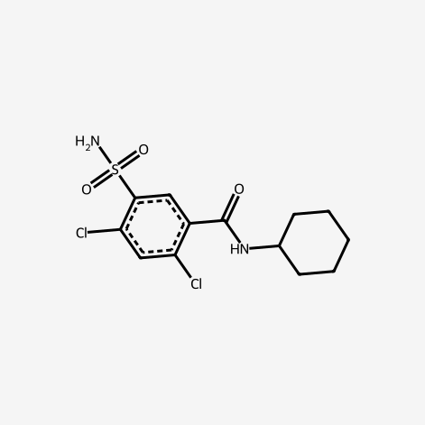 NS(=O)(=O)c1cc(C(=O)NC2CCCCC2)c(Cl)cc1Cl